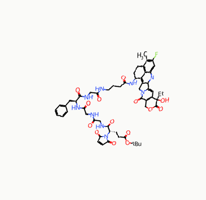 CC[C@@]1(O)C(=O)OCc2c1cc1n(c2=O)Cc2c-1nc1cc(F)c(C)c3c1c2[C@@H](NC(=O)CCCNC(=O)CNC(=O)[C@H](Cc1ccccc1)NC(=O)CNC(=O)CNC(=O)[C@H](CCC(=O)OC(C)(C)C)N1C(=O)C=CC1=O)CC3